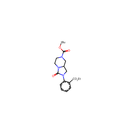 CCOC(=O)c1ccccc1N1CC2CN(C(=O)OC(C)(C)C)CCN2C1=O